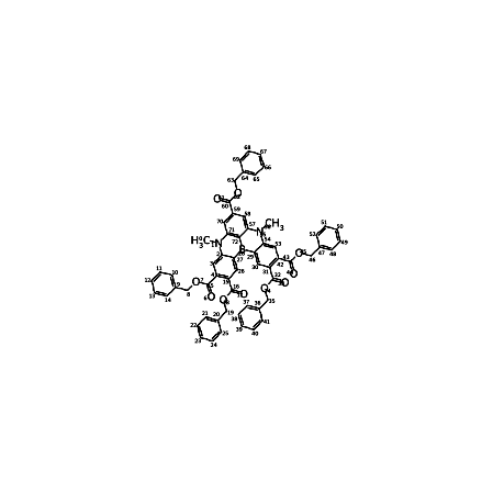 CN1c2cc(C(=O)OCc3ccccc3)c(C(=O)OCc3ccccc3)cc2B2c3cc(C(=O)OCc4ccccc4)c(C(=O)OCc4ccccc4)cc3N(C)c3cc(C(=O)OCc4ccccc4)cc1c32